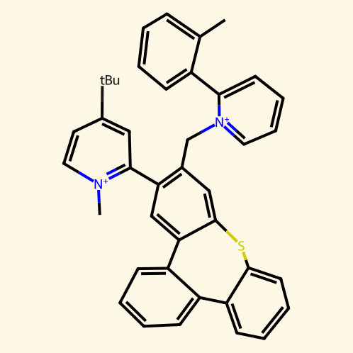 Cc1ccccc1-c1cccc[n+]1Cc1cc2c(cc1-c1cc(C(C)(C)C)cc[n+]1C)-c1ccccc1-c1ccccc1S2